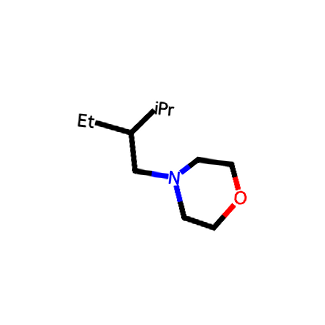 CCC(CN1CCOCC1)C(C)C